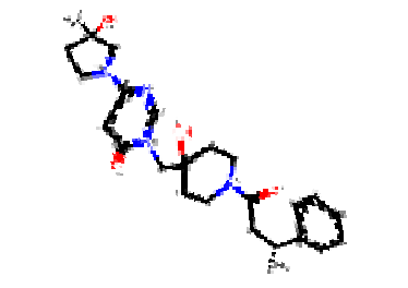 C[C@H](CC(=O)N1CCC(O)(Cn2cnc(N3CCC(C)(O)C3)cc2=O)CC1)c1ccccc1